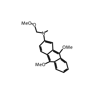 COOCN(C)c1ccc2c(OC)c3ccccc3c(OC)c2c1